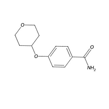 NC(=O)c1ccc(OC2CCOCC2)cc1